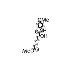 COC(=O)CCCCCC(O)C(=O)Nc1ccc(OC)cc1